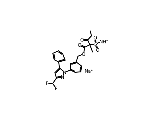 CCC(=O)C(C)(C(=O)OCc1cccc(-n2nc(C(F)F)cc2-c2ccccc2)c1)S([NH-])(=O)=O.[Na+]